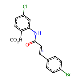 O=C(/C=C/c1ccc(Br)cc1)Nc1cc(Cl)ccc1C(=O)O